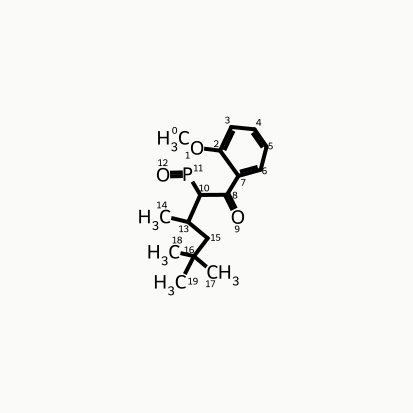 COc1ccccc1C(=O)C(P=O)C(C)CC(C)(C)C